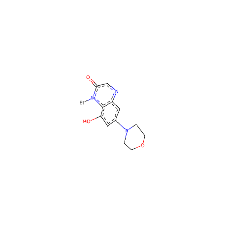 CCn1c(=O)cnc2cc(N3CCOCC3)cc(O)c21